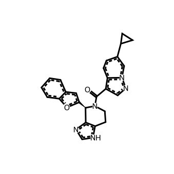 O=C(c1cnn2cc(C3CC3)ccc12)N1CCc2[nH]cnc2[C@H]1c1cc2ccccc2o1